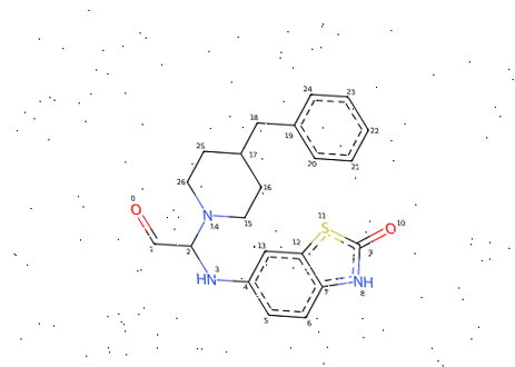 O=CC(Nc1ccc2[nH]c(=O)sc2c1)N1CCC(Cc2ccccc2)CC1